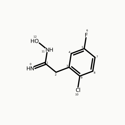 N=C(Cc1cc(F)ccc1Cl)NO